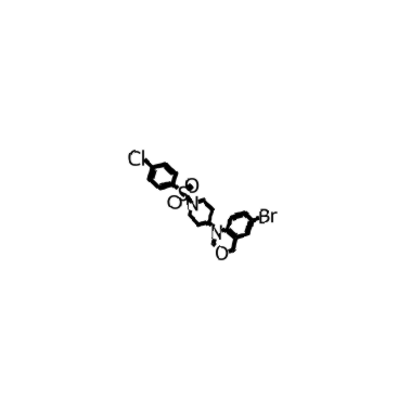 O=S(=O)(c1ccc(Cl)cc1)N1CCC(N2COCc3cc(Br)ccc32)CC1